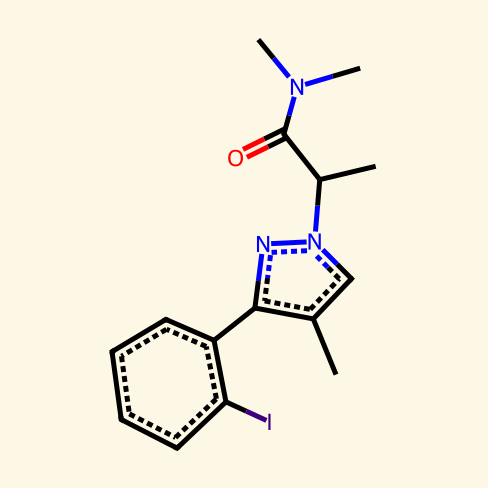 Cc1cn(C(C)C(=O)N(C)C)nc1-c1ccccc1I